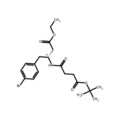 CCOC(=O)C[C@@H](Cc1ccc(Br)cc1)NC(=O)CCC(=O)OC(C)(C)C